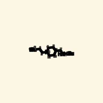 CC(C)(C)CCN1CCC(CNC(C)(C)C)CC1